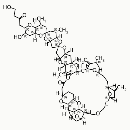 C=C1C[C@@H]2CCOC[C@H]3[C@@H]4O[C@H]5CC[C@H](CC(=O)O[C@@H]6[C@@H](C)[C@@H]7O[C@@H]8C[C@]9(C[C@@H]%10O[C@]%11(C[C@H](C)[C@@H]%12O[C@H](CC(=O)CCO)[C@H](O)C[C@@H]%12O%11)C[C@H](C)[C@@H]%10O9)O[C@@H]8C[C@@H]7O[C@H]6C[C@H]6O[C@@H](CC[C@@H]1O2)C[C@@H](C)C6=C)O[C@@H]5[C@@H]1OC[C@H]3O[C@@H]14